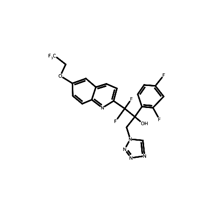 OC(Cn1cnnn1)(c1ccc(F)cc1F)C(F)(F)c1ccc2cc(OCC(F)(F)F)ccc2n1